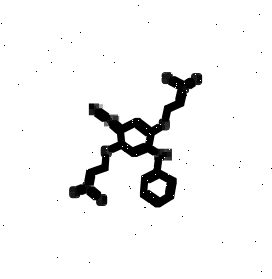 [N-]=[N+]=C1C=C(OCC=S(=O)=O)C(Nc2ccccc2)=CC1OCC=S(=O)=O